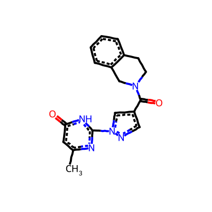 Cc1cc(=O)[nH]c(-n2cc(C(=O)N3CCc4ccccc4C3)cn2)n1